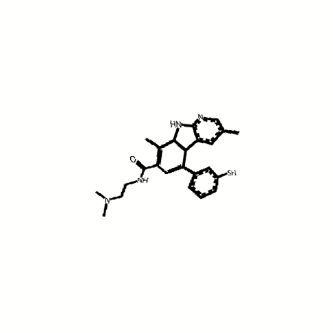 CC1=C(C(=O)NCCN(C)C)C=C(c2cccc(S)c2)C2c3cc(C)cnc3NC12